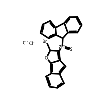 [Cl-].[Cl-].[S]=[Zr+2]([C]1=C2C=c3ccccc3=C2OC1Br)[CH]1c2ccccc2-c2ccccc21